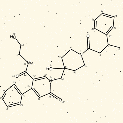 CC(CC(=O)N1CCC(O)(Cn2cc(C(=O)NCCO)c(-c3ccccc3)cc2=O)CC1)c1ccccc1